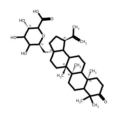 C=C(C)[C@@H]1CC[C@]2(C[C@@H]3OC(C(=O)O)[C@@H](O)C(O)C3O)CC[C@]3(C)C(CCC4[C@@]5(C)CCC(=O)C(C)(C)C5CC[C@]43C)C12